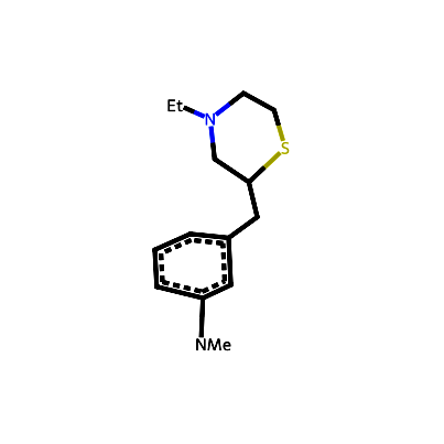 CCN1CCSC(Cc2cccc(NC)c2)C1